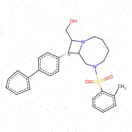 Cc1ccccc1S(=O)(=O)N1CCCCN2C(CO)[C@@H](c3ccc(-c4ccccc4)cc3)C2C1